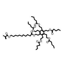 C=C(C)C(=O)OCCCCCCCCCCC(=O)OCCc1c(CCOC(=O)CCCC)c(CCOC(=O)CCCC)c(CCOC(=O)CCCC)c(CCOC(=O)CCCC)c1CCOC(=O)CCCC